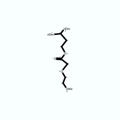 CCCCCCCCCCC(CCCCCCCCCC)CCOC(=O)COCCOC